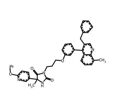 Cc1cccc2c(-c3cccc(OCCCN4C(=O)NC(C)(c5ccc(OC(C)C)nc5)C4=O)c3)c(Cc3ccccc3)cnc12